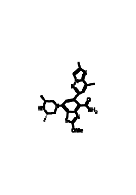 COc1nc2c(C(N)=O)c(-c3cc(C)c4nc(C)cn4n3)cc(N3C[C@H](C)N[C@@H](C)C3)c2s1